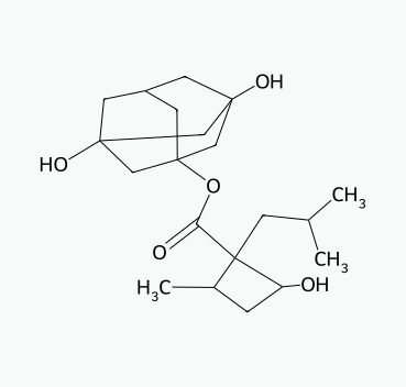 CC(C)CC1(C(=O)OC23CC4CC(O)(CC(O)(C4)C2)C3)C(C)CC1O